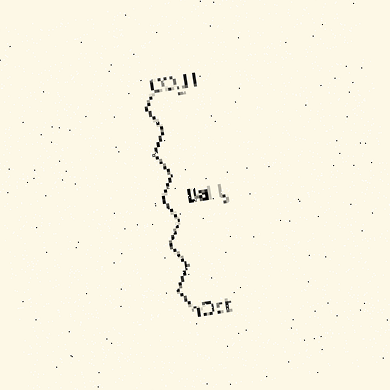 CCCCCCCCCCCCCCCCCC(=O)O.[BaH2]